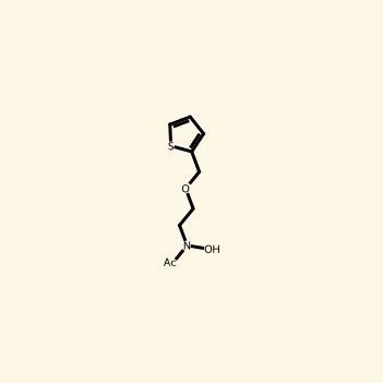 CC(=O)N(O)CCOCc1cccs1